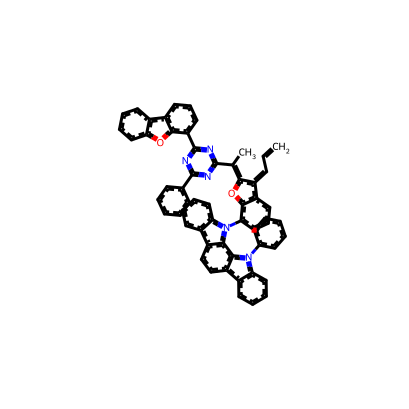 C=C/C=c1\c(=C(/C)c2nc(-c3ccccc3)nc(-c3cccc4c3oc3ccccc34)n2)oc2c(-n3c4ccccc4c4ccc5c6ccccc6n(-c6ccccc6)c5c43)cccc12